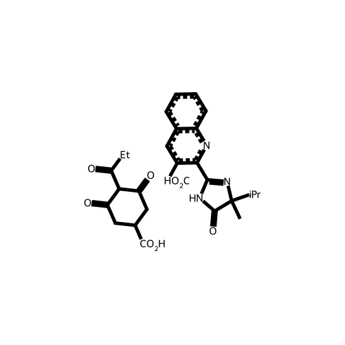 CC(C)C1(C)N=C(c2nc3ccccc3cc2C(=O)O)NC1=O.CCC(=O)C1C(=O)CC(C(=O)O)CC1=O